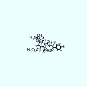 COC1CC([C@H](OC)[C@@H](C)C(=O)NC/C(=N\O)c2ccc(F)cc2C)N(C(=O)OC(C)(C)C)C1